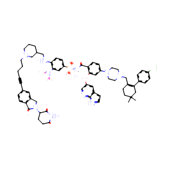 CC1(C)CCC(CN2CCN(c3ccc(C(=O)NS(=O)(=O)c4ccc(NCC5CCCN(CCCC#Cc6ccc7c(c6)CN(C6CCC(=O)NC6=O)C7=O)C5)c([N+](=O)[O-])c4)c(Oc4cnc5[nH]ccc5c4)c3)CC2)=C(c2ccc(Cl)cc2)C1